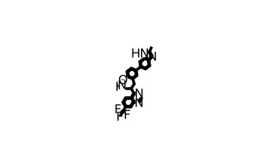 Cc1nc2ccc(-c3ccc4c(c3)CC(c3ncnc5cc(C(F)(F)F)ccc35)CN(I)O4)cc2[nH]1